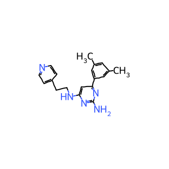 Cc1cc(C)cc(-c2cc(NCCc3ccncc3)nc(N)n2)c1